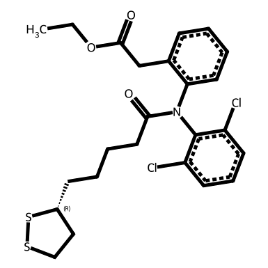 CCOC(=O)Cc1ccccc1N(C(=O)CCCC[C@@H]1CCSS1)c1c(Cl)cccc1Cl